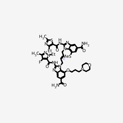 CCc1nc(C)sc1C(=O)Nc1nc2cc(C(N)=O)cc(SC)c2n1C/C=C/Cn1c(NC(=O)c2c(F)c(C)nn2CC)nc2cc(C(N)=O)cc(OCCCN3CCOCC3)c21